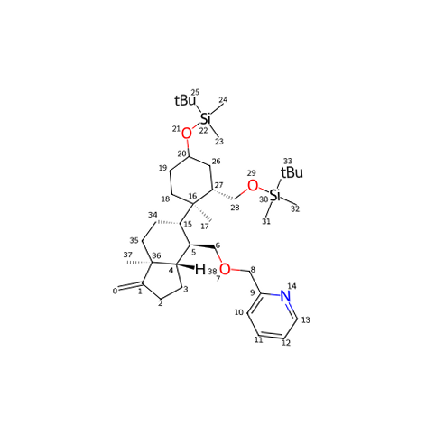 C=C1CC[C@H]2[C@H](COCc3ccccn3)[C@@H]([C@@]3(C)CCC(O[Si](C)(C)C(C)(C)C)C[C@@H]3CO[Si](C)(C)C(C)(C)C)CC[C@]12C